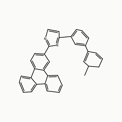 CC1C=C(c2cccc(-c3ccnc(-c4ccc5c6ccccc6c6ccccc6c5c4)n3)c2)C=CC1